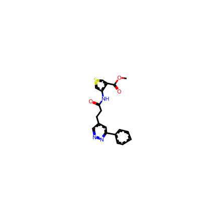 COC(=O)c1cscc1NC(=O)CCc1cnnc(-c2ccccc2)c1